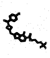 Cc1c(C(=O)NCCSC(F)(F)F)ccc2nn(CC3CN(C(=O)c4ccc(Cl)cc4)C3)cc12